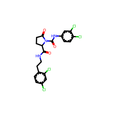 O=C(NCCc1ccc(Cl)cc1Cl)C1CCC(=O)N1C(=O)Nc1ccc(Cl)c(Cl)c1